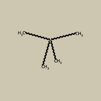 CCCCCCCCCCCCCCCCCC[N+](CCCCCCCCCCCCCC)(CCCCCCCCCCCCCCCCCC)CCCCCCCCCCCCCCCCCC